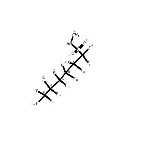 CNS(=O)(=O)C(F)(F)C(F)(F)C(F)(F)C(F)(F)C(F)(F)C(F)(F)F